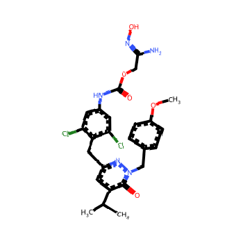 COc1ccc(Cn2nc(Cc3c(Cl)cc(NC(=O)OCC(N)=NO)cc3Cl)cc(C(C)C)c2=O)cc1